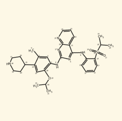 Cc1cc(Nc2nc(Nc3ccccc3S(=O)(=O)C(C)C)c3cccnc3n2)c(OC(C)C)cc1C1CCNCC1